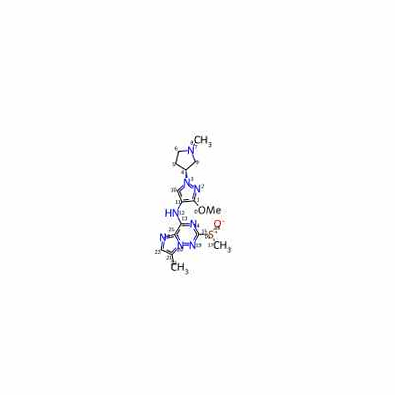 COc1nn([C@H]2CCN(C)C2)cc1Nc1nc([S+](C)[O-])nn2c(C)cnc12